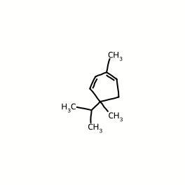 CC1=CCC(C)(C(C)C)C=C1